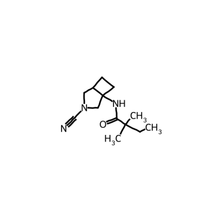 CCC(C)(C)C(=O)NC12CCC1CN(C#N)C2